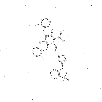 O=c1c([N+](=O)[O-])c(/C=C/c2cnn(Cc3ccccc3C(F)(F)F)c2)n(Cc2ccccc2F)c(=O)n1Cc1ccccc1F